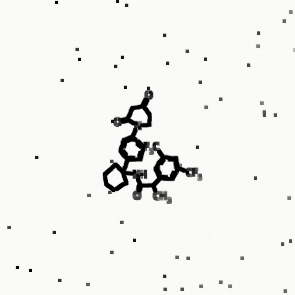 CC(C(=O)NC1(c2ccc(N3CCC(=O)CC3=O)cc2)CCCCC1)c1cc(C(F)(F)F)cc(C(F)(F)F)c1